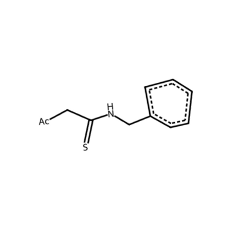 CC(=O)CC(=S)NCc1ccccc1